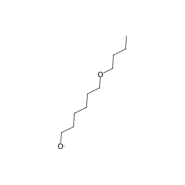 CCCCOCCCCCC[O]